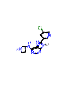 CCn1c(-c2cncc(Cl)c2)nc2c(NC3CCNC3)ncnc21